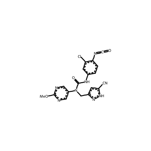 COc1ncc(N(Cc2cc(C#N)[nH]n2)C(=O)Nc2ccc(N=C=O)c(Cl)c2)cn1